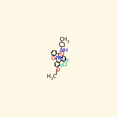 CCCOc1ccc(C(N)=O)c(-c2c(Cl)c(F)cc3c2C[C@@](CNC2CCC(C)CC2)(c2ccccc2)O3)c1F